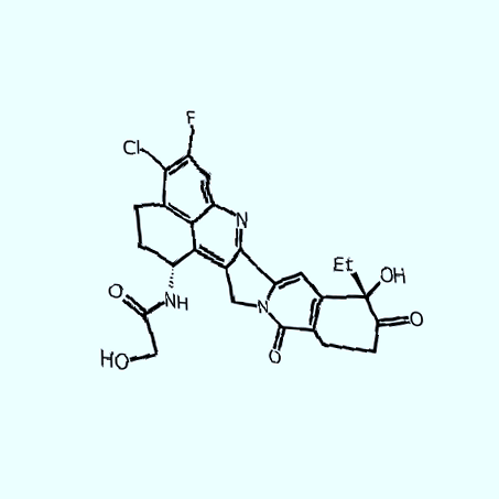 CC[C@@]1(O)C(=O)CCc2c1cc1n(c2=O)Cc2c-1nc1cc(F)c(Cl)c3c1c2[C@H](NC(=O)CO)CC3